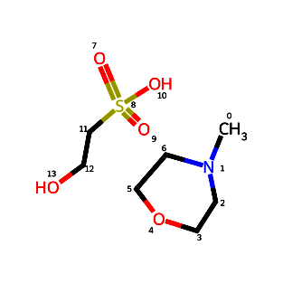 CN1CCOCC1.O=S(=O)(O)CCO